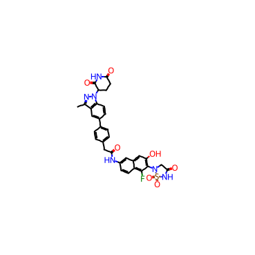 Cc1nn(C2CCC(=O)NC2=O)c2ccc(-c3ccc(CC(=O)Nc4ccc5c(F)c(N6CC(=O)NS6(=O)=O)c(O)cc5c4)cc3)cc12